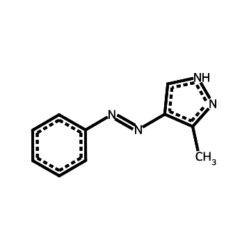 Cc1n[nH]cc1N=Nc1ccccc1